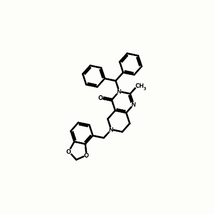 Cc1nc2c(c(=O)n1C(c1ccccc1)c1ccccc1)CN(Cc1cccc3c1OCO3)CC2